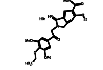 Br.CCOc1cc2c(cc1C(=O)NC)C(=N)N(CC(=O)c1cc(OC)c(OCC(=O)O)c(OC)c1)C2